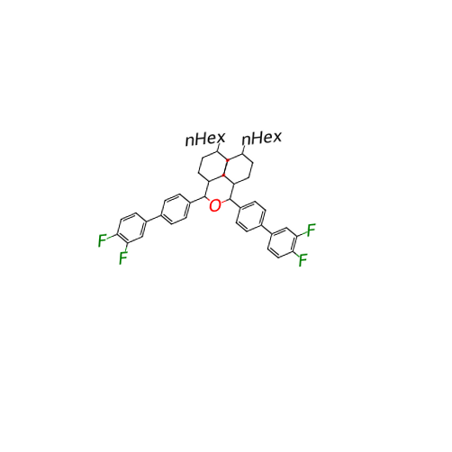 CCCCCCC1CCC(C(OC(c2ccc(-c3ccc(F)c(F)c3)cc2)C2CCC(CCCCCC)CC2)c2ccc(-c3ccc(F)c(F)c3)cc2)CC1